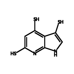 Sc1cc(S)c2c(S)c[nH]c2n1